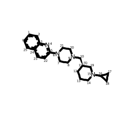 c1ccc2nc(N3CCN(C[C@@H]4CCCN(C5CC5)C4)CC3)ccc2c1